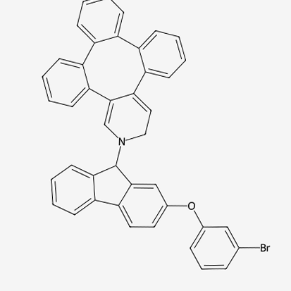 Brc1cccc(Oc2ccc3c(c2)C(N2C=C4C(=CC2)c2ccccc2-c2ccccc2-c2ccccc24)c2ccccc2-3)c1